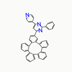 c1ccc(-c2nc(-c3ccncc3)cc(-c3ccc4c5ccccc5c5ccccc5c5ccccc5c5ccccc5c4c3)n2)cc1